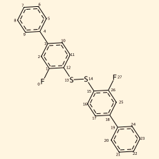 Fc1cc(-c2ccccc2)ccc1SSc1ccc(-c2ccccc2)cc1F